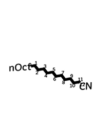 CCCCCCCCCCCCCCCCCCCC#N